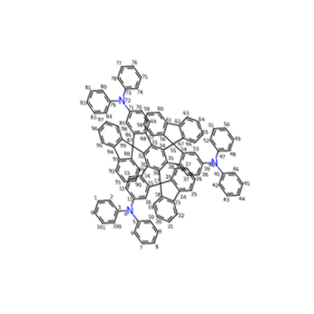 c1ccc(N(c2ccccc2)c2ccc3c(c2)C2(c4ccccc4-c4ccccc42)c2c-3c3c(c4c2-c2ccc(N(c5ccccc5)c5ccccc5)cc2C42c4ccccc4-c4ccccc42)-c2ccc(N(c4ccccc4)c4ccccc4)cc2C32c3ccccc3-c3ccccc32)cc1